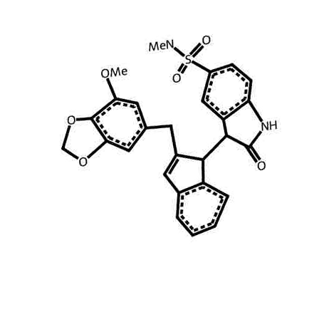 CNS(=O)(=O)c1ccc2c(c1)C(C1C(Cc3cc(OC)c4c(c3)OCO4)=Cc3ccccc31)C(=O)N2